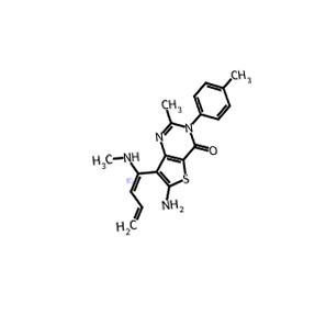 C=C/C=C(/NC)c1c(N)sc2c(=O)n(-c3ccc(C)cc3)c(C)nc12